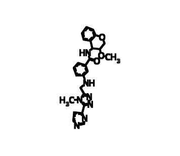 COC1COc2ccccc2C1NC(=O)c1cccc(NCc2nnc(-c3ccncn3)n2C)c1